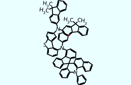 CC1(C)c2ccccc2-c2cc(N(c3ccc4c(c3)C(C)(C)c3ccccc3-4)c3ccc4sc5cccc(N(c6ccccc6)c6cccc7c6-c6ccccc6C76c7ccccc7N(c7ccccc7)c7c6ccc6ccccc76)c5c4c3)ccc21